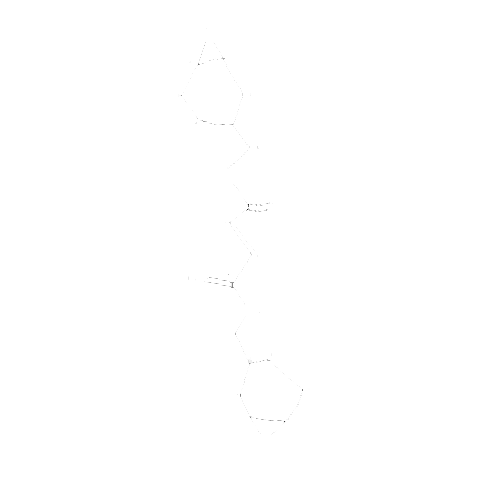 O=C(/C=C/C(=O)OCC1CCC2OC2C1)OCC1CCC2OC2C1